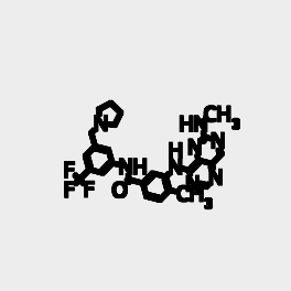 CNc1ncc2ncnc(Nc3cc(C(=O)Nc4cc(CN5CCCC5)cc(C(F)(F)F)c4)ccc3C)c2n1